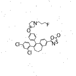 O=c1oc(-c2ccc3c(c2)CCCC(c2ccc(Cl)cc2Cl)=C3c2ccc(O[C@H]3CCN(CCCF)C3)cc2)ns1